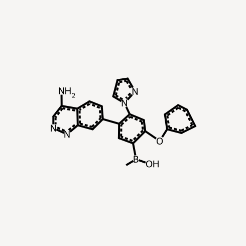 CB(O)c1cc(-c2ccc3c(N)cnnc3c2)c(-n2cccn2)cc1Oc1ccccc1